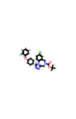 CC(C)(C)OC(=O)N1Cc2cc(Cl)ccc2-n2c(nnc2[C@H]2CC[C@H](Oc3ccccc3F)CC2)C1